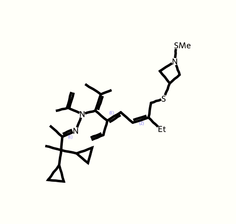 C=C/C(=C\C=C(\CC)CSC1CN(SC)C1)C(=C(C)C)N(/N=C(\C)C(C)(C1CC1)C1CC1)C(=C)C